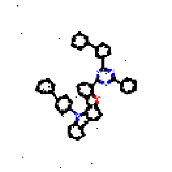 c1ccc(-c2ccc(-n3c4ccccc4c4ccc5oc6c(-c7nc(-c8ccccc8)nc(-c8cccc(-c9ccccc9)c8)n7)cccc6c5c43)cc2)cc1